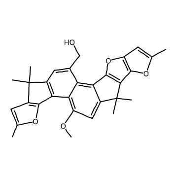 COc1cc2c(c3c(CO)cc4c(c13)-c1oc(C)cc1C4(C)C)-c1oc3cc(C)oc3c1C2(C)C